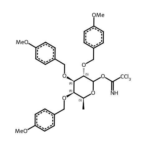 COc1ccc(CO[C@@H]2[C@H](OCc3ccc(OC)cc3)[C@H](C)OC(OC(=N)C(Cl)(Cl)Cl)[C@H]2OCc2ccc(OC)cc2)cc1